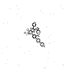 CCc1cc(Nc2nc(N3CCC34CCOCC4)c(-c3ccncc3)nc2C(N)=O)ccc1N1CCC(N2CCN(C)CC2)CC1